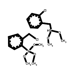 CO[SiH](Cc1ccccc1Cl)OC.CO[Si](OC)(OC)c1ccccc1CCl